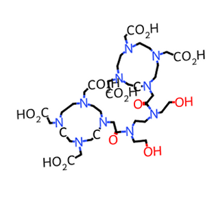 O=C(O)CN1CCN(CC(=O)O)CCN(CC(=O)N(CCO)CCN(CCO)C(=O)CN2CCN(CC(=O)O)CCN(CC(=O)O)CCN(CC(=O)O)CC2)CCN(CC(=O)O)CC1